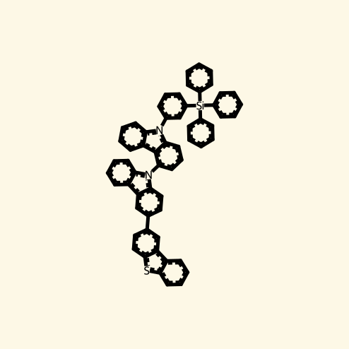 c1ccc([Si](c2ccccc2)(c2ccccc2)c2cccc(-n3c4ccccc4c4c(-n5c6ccccc6c6cc(-c7ccc8sc9ccccc9c8c7)ccc65)cccc43)c2)cc1